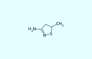 CC1CC(N)=NS1